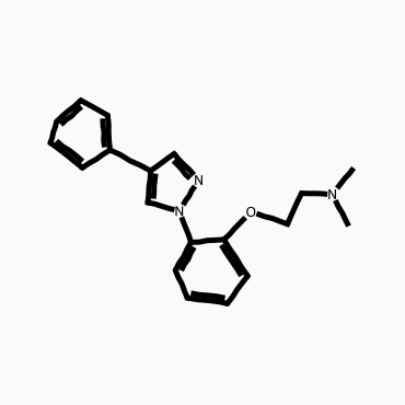 CN(C)CCOc1ccccc1-n1cc(-c2ccccc2)cn1